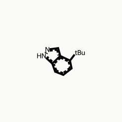 CC(C)(C)c1cccc2[nH]ncc12